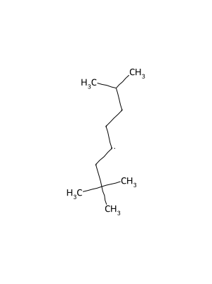 CC(C)CC[CH]CC(C)(C)C